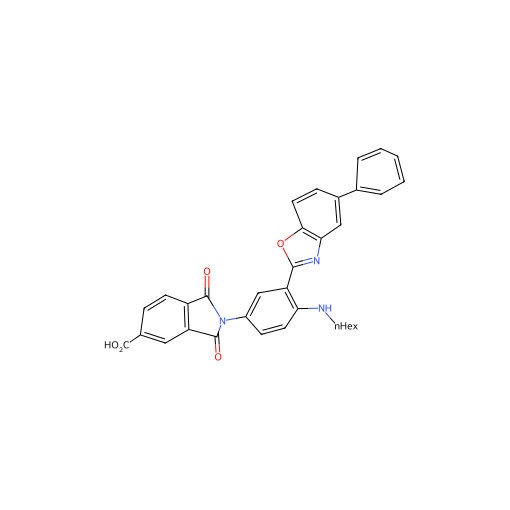 CCCCCCNc1ccc(N2C(=O)c3ccc(C(=O)O)cc3C2=O)cc1-c1nc2cc(-c3ccccc3)ccc2o1